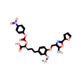 COc1cc(CCC[C@H](OC(=O)Oc2ccc([N+](=O)[O-])cc2)C(=O)O)ccc1OCc1nc(-c2ccco2)oc1C